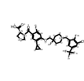 O=C(O)[C@@H]1COCN1C(=O)c1cc(C2CC2)c(OCC2(F)CCN(Cc3cc(C(F)(F)F)cc(Cl)c3F)CC2)cc1F